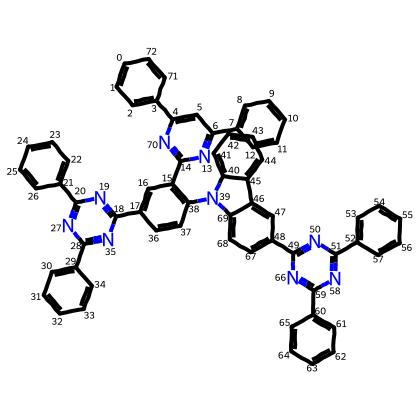 c1ccc(-c2cc(-c3ccccc3)nc(-c3cc(-c4nc(-c5ccccc5)nc(-c5ccccc5)n4)ccc3-n3c4ccccc4c4cc(-c5nc(-c6ccccc6)nc(-c6ccccc6)n5)ccc43)n2)cc1